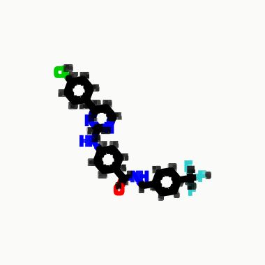 O=C(NCc1ccc(C(F)(F)F)cc1)c1ccc(Nc2nccc(-c3ccc(Cl)cc3)n2)cc1